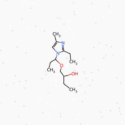 CCc1nc(C)cn1C(CC)OCC(O)CC